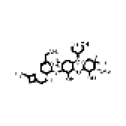 CN[C@@H]1[C@@H](O)[C@@H](O[C@H]2[C@H](NC(CO)CO)C[C@H](N)C(O[C@H]3OC(CN)=CC[C@H]3NCC3CC(N)C3)[C@@H]2O)OC[C@]1(C)O